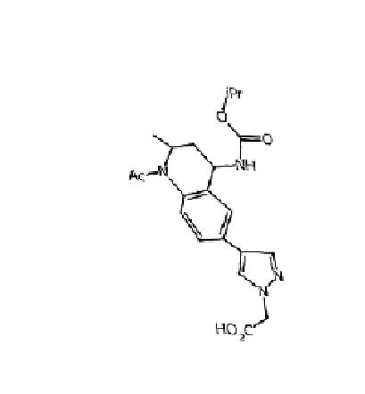 CC(=O)N1c2ccc(-c3cnn(CC(=O)O)c3)cc2C(NC(=O)OC(C)C)CC1C